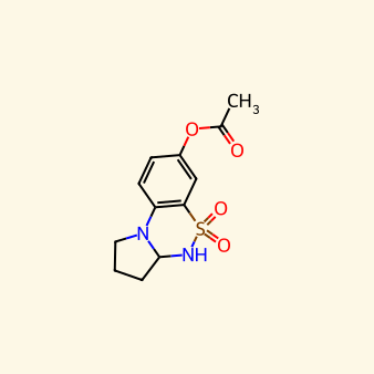 CC(=O)Oc1ccc2c(c1)S(=O)(=O)NC1CCCN21